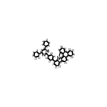 c1ccc(-c2cc(-c3ccccc3)nc(-c3ccc(-c4cccc5c6ccc7c8ccccc8c8cccc9c8c7c6n9c45)cc3)n2)cc1